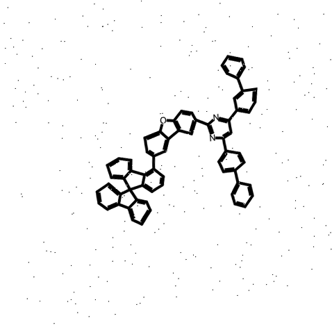 c1ccc(-c2ccc(-c3cc(-c4cccc(-c5ccccc5)c4)nc(-c4ccc5oc6ccc(-c7cccc8c7-c7ccccc7C87c8ccccc8-c8ccccc87)cc6c5c4)n3)cc2)cc1